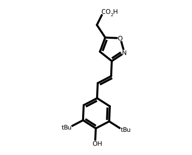 CC(C)(C)c1cc(C=Cc2cc(CC(=O)O)on2)cc(C(C)(C)C)c1O